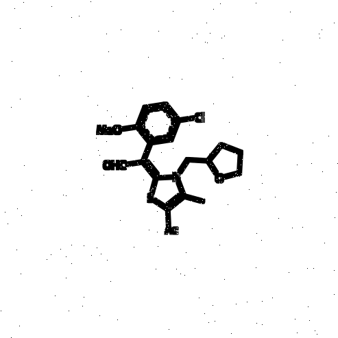 COc1ccc(Cl)cc1/C(C=O)=C1/SC(C(C)=O)=C(C)N1CC1CCCO1